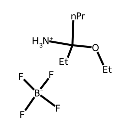 CCCC([NH3+])(CC)OCC.F[B-](F)(F)F